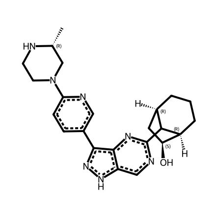 C[C@@H]1CN(c2ccc(-c3n[nH]c4cnc(C5[C@@H]6CCC[C@H]5[C@@H](O)C6)nc34)cn2)CCN1